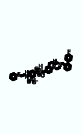 O=C(NS(=O)(=O)c1ccc(NCCSc2ccccc2)c([N+](=O)[O-])c1)c1ccc2c(c1)CC[C@H]1CN(Cc3ccccc3-c3ccc(F)cc3)CCN21